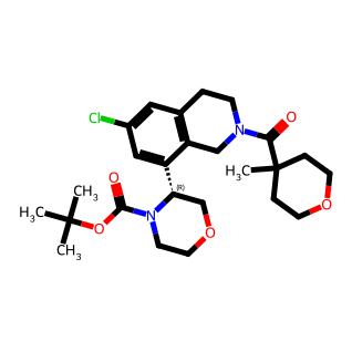 CC(C)(C)OC(=O)N1CCOC[C@H]1c1cc(Cl)cc2c1CN(C(=O)C1(C)CCOCC1)CC2